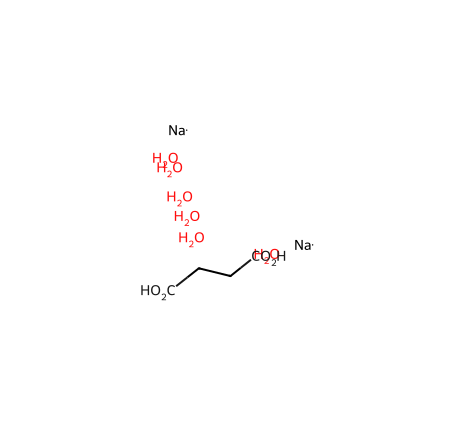 O.O.O.O.O.O.O=C(O)CCC(=O)O.[Na].[Na]